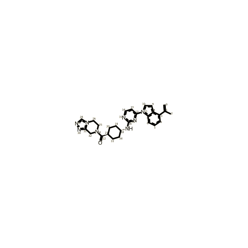 C=C(C)c1cccc2c1ccn2-c1ccnc(N[C@H]2CC[C@H](C(=O)N3CCn4cnnc4C3)CC2)n1